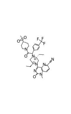 CC[C@H]1CN(C(C(=O)N2CCC(S(C)(=O)=O)CC2)c2ccc(C(F)(F)F)cc2)[C@H](CC)CN1c1nc(=O)n(C)c2ccc(C#N)nc12